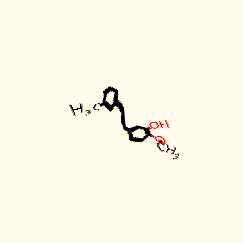 COc1ccc(CCc2cccc(C)c2)cc1O